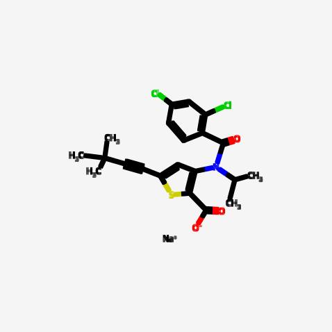 CC(C)N(C(=O)c1ccc(Cl)cc1Cl)c1cc(C#CC(C)(C)C)sc1C(=O)[O-].[Na+]